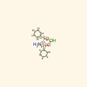 Cl.N[SH](C(=O)c1ccccc1)C(=O)c1ccccc1